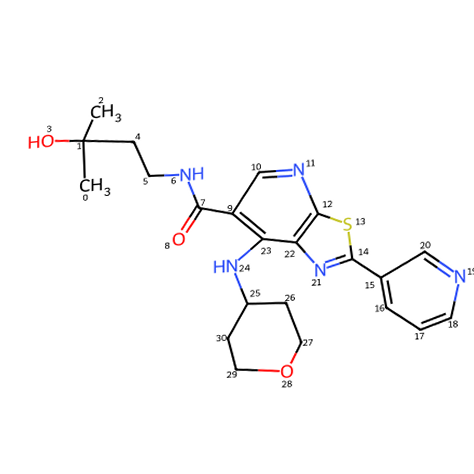 CC(C)(O)CCNC(=O)c1cnc2sc(-c3cccnc3)nc2c1NC1CCOCC1